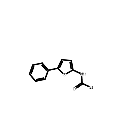 CCC(=O)Nc1ccc(-c2ccccc2)s1